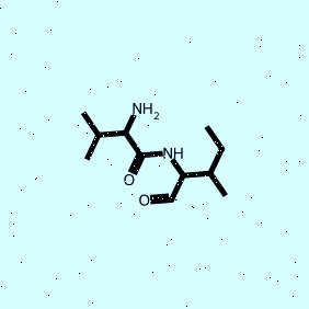 CCC(C)C([C]=O)NC(=O)C(N)C(C)C